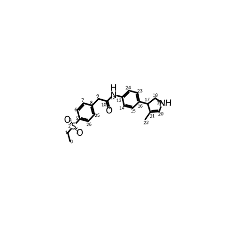 CCS(=O)(=O)c1ccc(CC(=O)Nc2ccc(C3CNC=C3C)cc2)cc1